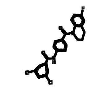 O=C(Nc1ccc(C(=O)N2CCCc3cc(F)ccc32)cc1)c1cc(Cl)cc(Cl)c1